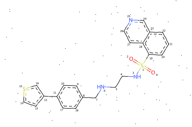 O=S(=O)(NCCNCc1ccc(-c2ccsc2)cc1)c1cccc2cnccc12